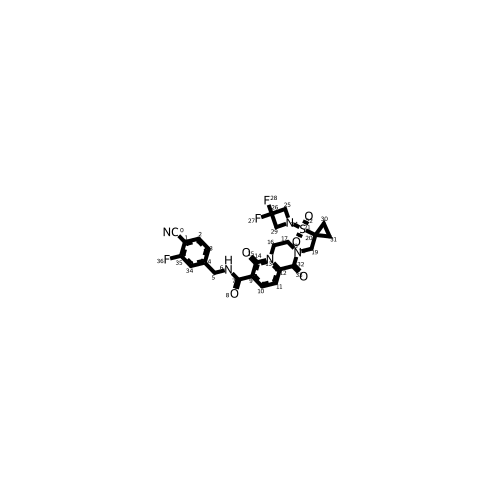 N#Cc1ccc(CNC(=O)c2ccc3n(c2=O)CCN(CC2(S(=O)(=O)N4CC(F)(F)C4)CC2)C3=O)cc1F